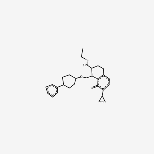 CCSNC1CCc2ccc(C3CC3)c(=O)n2C1COC1CCC(c2ccccc2)CC1